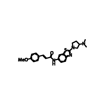 COc1ccc(C=CC(=O)Nc2ccc3nc(N4CCC(N(C)C)C4)sc3c2)cc1